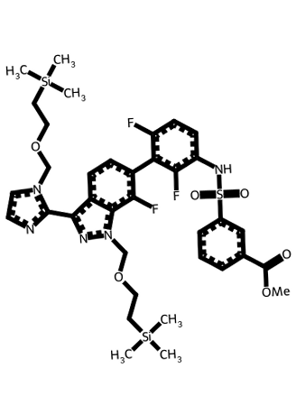 COC(=O)c1cccc(S(=O)(=O)Nc2ccc(F)c(-c3ccc4c(-c5nccn5COCC[Si](C)(C)C)nn(COCC[Si](C)(C)C)c4c3F)c2F)c1